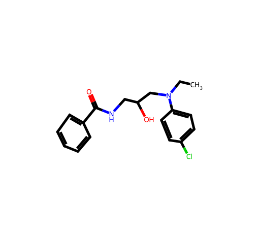 CCN(CC(O)CNC(=O)c1ccccc1)c1ccc(Cl)cc1